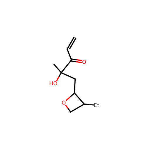 C=CC(=O)C(C)(O)CC1OCC1CC